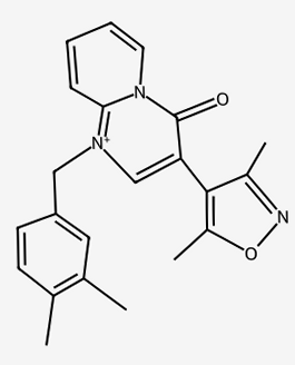 Cc1ccc(C[n+]2cc(-c3c(C)noc3C)c(=O)n3ccccc32)cc1C